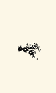 COc1ccc(-n2c(C#C[Si](C(C)C)(C(C)C)C(C)C)nc3cc(-c4ccccc4)ccc32)cc1Cl